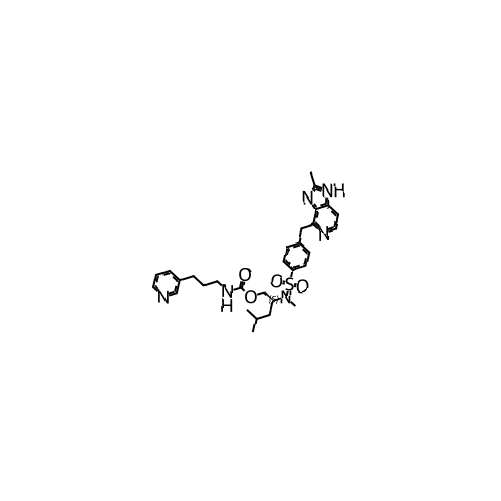 Cc1nc2c(Cc3ccc(S(=O)(=O)N(C)[C@H](COC(=O)NCCCc4cccnc4)CC(C)C)cc3)nccc2[nH]1